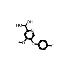 COc1cc(C(O)O)ncc1Oc1ccc(F)cc1